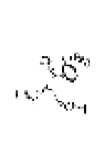 C#CC(=C)C(=O)OCCCC